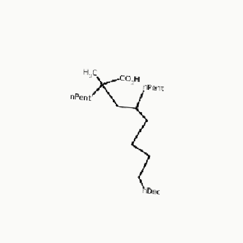 CCCCCCCCCCCCCCC(CCCCC)CC(C)(CCCCC)C(=O)O